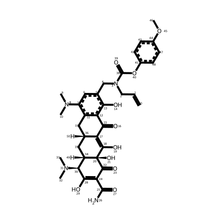 C=CCN(Cc1cc(N(C)C)c2c(c1O)C(=O)C1=C(O)[C@]3(O)C(=O)C(C(N)=O)=C(O)[C@@H](N(C)C)[C@@H]3C[C@@H]1C2)C(=O)Oc1ccc(OC)cc1